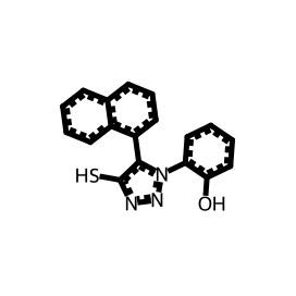 Oc1ccccc1-n1nnc(S)c1-c1cccc2ccccc12